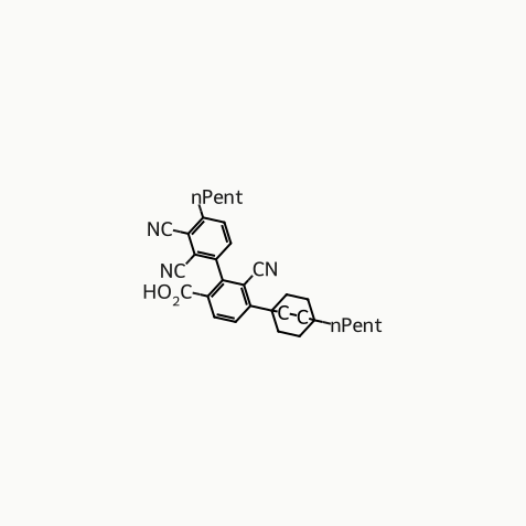 CCCCCc1ccc(-c2c(C(=O)O)ccc(C34CCC(CCCCC)(CC3)CC4)c2C#N)c(C#N)c1C#N